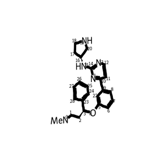 CNCC[C@H](Oc1cccc(-c2ccnc(N[C@@H]3CCNC3)n2)c1)c1ccccc1